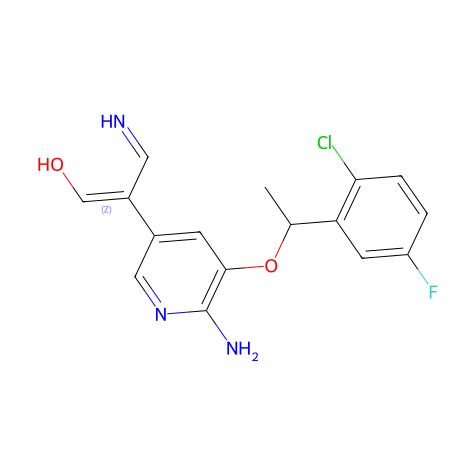 CC(Oc1cc(/C(C=N)=C/O)cnc1N)c1cc(F)ccc1Cl